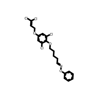 ClC(Cl)=CCOc1cc(Cl)c(OCCCCC=NOc2ccccc2)c(Cl)c1